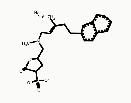 CC(=CCN(C)CC1CC(P(=O)([O-])[O-])C(=O)O1)CCc1ccc2ccccc2c1.[Na+].[Na+]